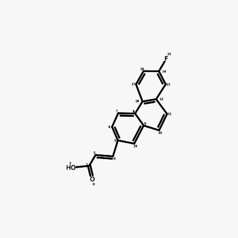 O=C(O)/C=C/c1ccc2c(ccc3cc(F)ccc32)c1